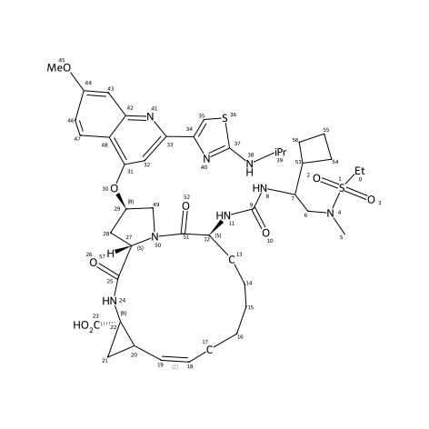 CCS(=O)(=O)N(C)CC(NC(=O)N[C@H]1CCCCC/C=C\C2C[C@@]2(C(=O)O)NC(=O)[C@@H]2C[C@@H](Oc3cc(-c4csc(NC(C)C)n4)nc4cc(OC)ccc34)CN2C1=O)C1CCC1